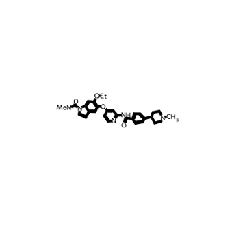 CCOc1cc2c(ccn2C(=O)NC)cc1Oc1ccnc(NC(=O)c2ccc(C3CCN(C)CC3)cc2)c1